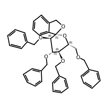 c1ccc(COC[C@H]2O[C@]3(OCc4ccccc43)[C@H](OCc3ccccc3)[C@@H](OCc3ccccc3)[C@@H]2OCc2ccccc2)cc1